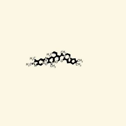 C=C(/C(CO)=C(\C=C/C)c1cc(Nc2cc3c(C)n(C)nc3cn2)c(=O)n(C)c1)N1CCn2c(cc3c2CC(C)(C)C3)C1=O